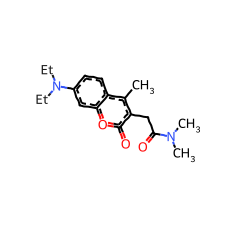 CCN(CC)c1ccc2c(C)c(CC(=O)N(C)C)c(=O)oc2c1